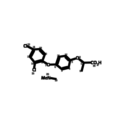 CC(Oc1ccc(Oc2ccc(Cl)cc2Cl)cc1)C(=O)O.CNC